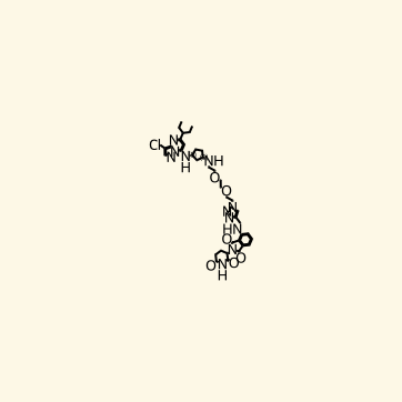 CCC(CC)c1cc(N[C@H]2CC[C@H](NCCOCCOCCn3cc(CNc4cccc5c4C(=O)N(C4CCC(=O)NC4=O)C5=O)nn3)C2)n2ncc(Cl)c2n1